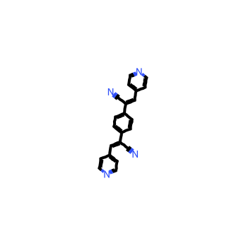 N#CC(=Cc1ccncc1)c1ccc(C(C#N)=Cc2ccncc2)cc1